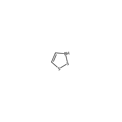 B1C=CSS1